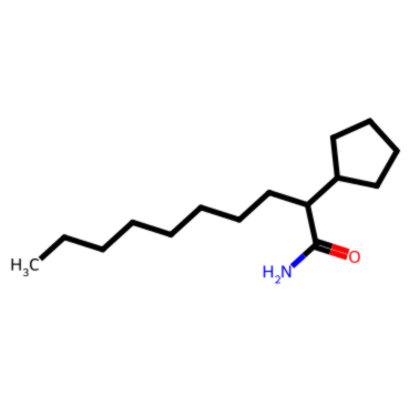 CCCCCCCCC(C(N)=O)C1CCCC1